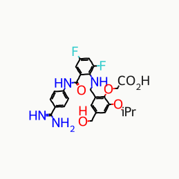 CC(C)Oc1cc(CO)cc(CNc2c(F)cc(F)cc2C(=O)Nc2ccc(C(=N)N)cc2)c1OCC(=O)O